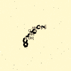 O=C(NC[C@H](O)CN1CCc2ccccc2C1)c1ccnc(NC2CCN(CC(F)(F)F)CC2)c1